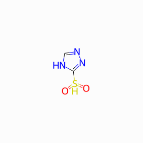 O=[SH](=O)c1nnc[nH]1